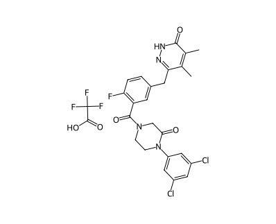 Cc1c(Cc2ccc(F)c(C(=O)N3CCN(c4cc(Cl)cc(Cl)c4)C(=O)C3)c2)n[nH]c(=O)c1C.O=C(O)C(F)(F)F